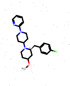 COC1CCN(C2CCN(c3ccccn3)CC2)[C@@H](Cc2ccc(Cl)cc2)C1